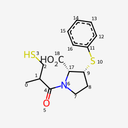 CC(CS)C(=O)N1CC[C@@H](Sc2ccccc2)[C@H]1C(=O)O